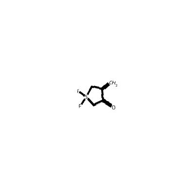 C=C1CS(F)(F)CC1=O